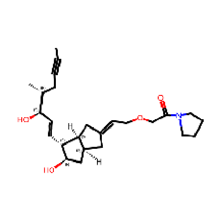 CC#CC[C@@H](C)[C@H](O)C=C[C@@H]1[C@H]2CC(=CCOCC(=O)N3CCCC3)C[C@H]2C[C@H]1O